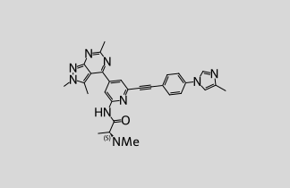 CN[C@@H](C)C(=O)Nc1cc(-c2nc(C)nc3nn(C)c(C)c23)cc(C#Cc2ccc(-n3cnc(C)c3)cc2)n1